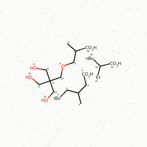 CC(CC(=O)O)CC(C)(C)C.CC(COCC(CO)(CO)CO)C(=O)O.CCCCC(CC)C(=O)O